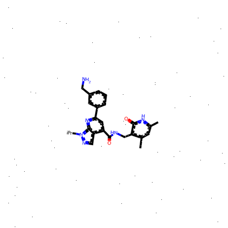 Cc1cc(C)c(CNC(=O)c2cc(-c3cccc(CN)c3)nc3c2cnn3C(C)C)c(=O)[nH]1